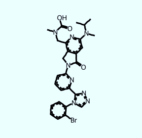 CC(C)N(C)c1cc2c(c(CN(C)C(=O)O)n1)CN(c1cccc(-c3nncn3-c3ccccc3Br)n1)C2=O